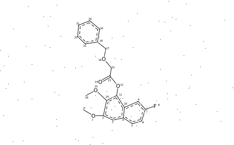 COc1cc2ccc(F)cc2c(OC(=O)COCc2ccccc2)c1OC